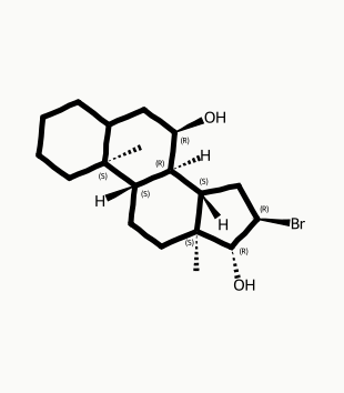 C[C@]12CC[C@H]3[C@@H]([C@H](O)CC4CCCC[C@@]43C)[C@@H]1C[C@@H](Br)[C@@H]2O